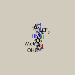 COc1cc(Nc2ncc(C(F)(F)F)c(NC3CCC3)n2)c(Cl)cc1C1CN(C=O)CCO1